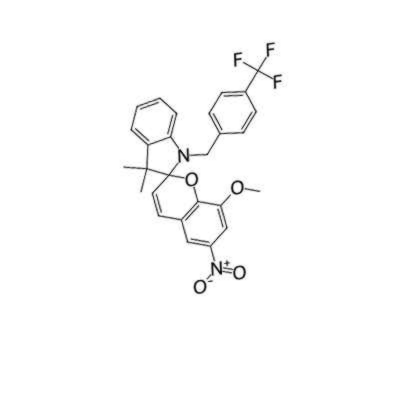 COc1cc([N+](=O)[O-])cc2c1OC1(C=C2)N(Cc2ccc(C(F)(F)F)cc2)c2ccccc2C1(C)C